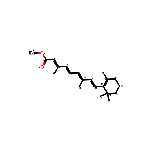 CCC(C)OC(=O)/C=C(C)/C=C/C=C(C)/C=C/C1=C(C)CCCC1(C)C